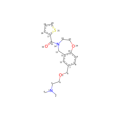 CN(C)CCOCc1ccc2c(c1)CN(C(=O)c1cccs1)CCO2